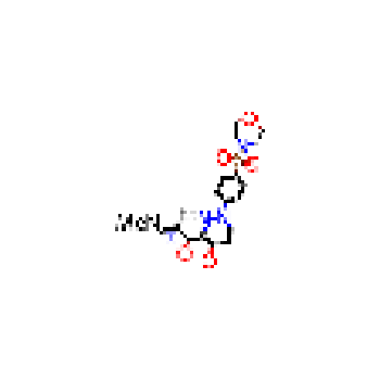 CC/C(=C\NC)C(=O)c1nn(-c2ccc(S(=O)(=O)N3CCOCC3)cc2)ccc1=O